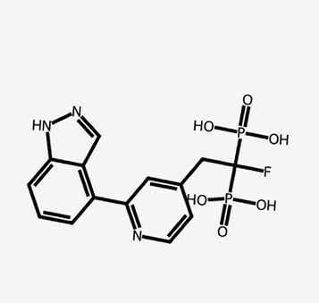 O=P(O)(O)C(F)(Cc1ccnc(-c2cccc3[nH]ncc23)c1)P(=O)(O)O